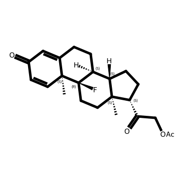 CC(=O)OCC(=O)[C@H]1CC[C@H]2[C@@H]3CCC4=CC(=O)C=C[C@]4(C)[C@@]3(F)CC[C@]12C